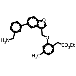 CCOC(=O)Cc1ccc(C)cc1OCc1coc2ccc(-c3cccc(CN)c3)cc12